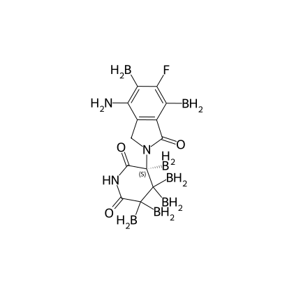 Bc1c(N)c2c(c(B)c1F)C(=O)N([C@]1(B)C(=O)NC(=O)C(B)(B)C1(B)B)C2